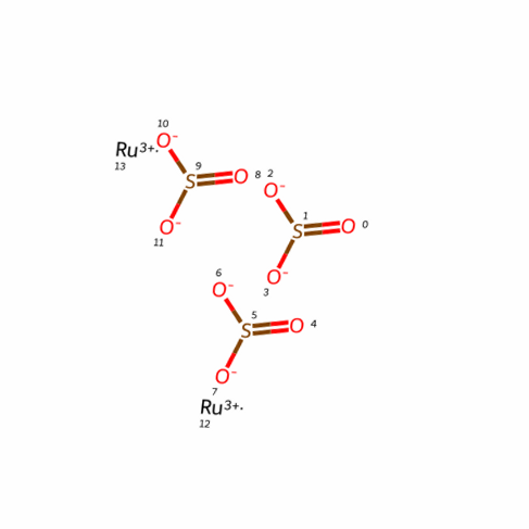 O=S([O-])[O-].O=S([O-])[O-].O=S([O-])[O-].[Ru+3].[Ru+3]